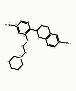 COc1ccc2c(c1)CCC(c1ccc(OC)cc1NCCN1CCCCC1)C2